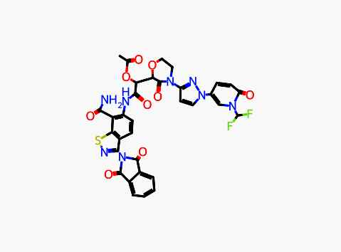 CC(=O)OC(C(=O)Nc1ccc2c(N3C(=O)c4ccccc4C3=O)nsc2c1C(N)=O)C1OCCN(c2ccn(-c3ccc(=O)n(C(F)F)c3)n2)C1=O